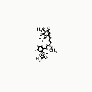 CCN(CCCc1cc(=O)n(C)c(=O)n1C)CCc1ccccc1NS(C)(=O)=O